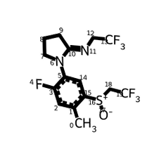 Cc1cc(F)c(N2CCCC2=NCC(F)(F)F)cc1[S+]([O-])CC(F)(F)F